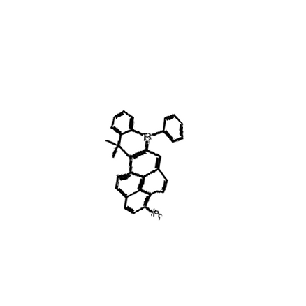 CC(C)c1ccc2ccc3c4c(cc5ccc1c2c53)B(c1ccccc1)c1ccccc1C4(C)C